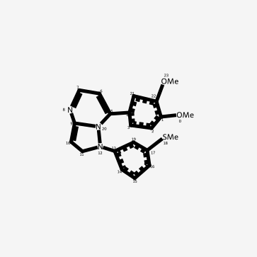 COc1ccc(C2=CC=NC3=CCN(c4cccc(SC)c4)N32)cc1OC